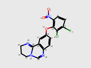 O=[N+]([O-])c1ccc(F)c(Cl)c1Oc1ccc2c(c1)C1=NCCCN1C=N2